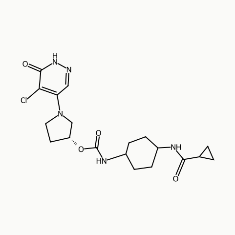 O=C(NC1CCC(NC(=O)C2CC2)CC1)O[C@@H]1CCN(c2cn[nH]c(=O)c2Cl)C1